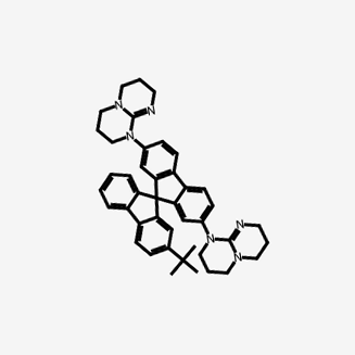 CC(C)(C)c1ccc2c(c1)C1(c3ccccc3-2)c2cc(N3CCCN4CCCN=C43)ccc2-c2ccc(N3CCCN4CCCN=C43)cc21